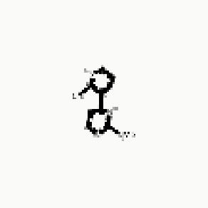 CNc1nccc(-c2cccnc2Cl)n1